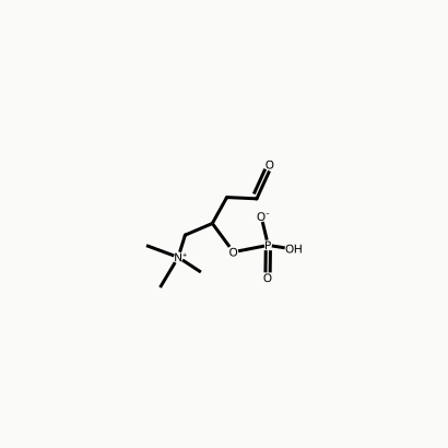 C[N+](C)(C)CC(CC=O)OP(=O)([O-])O